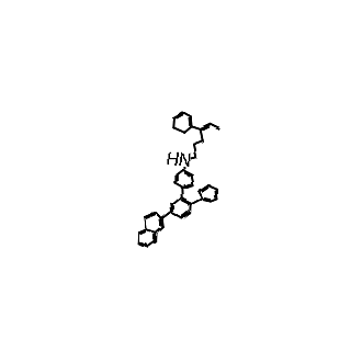 C/C=C(\CCCNc1ccc(-c2cc(-c3ccc4ccccc4c3)ccc2-c2ccccc2)cc1)C1=CC=CCC1